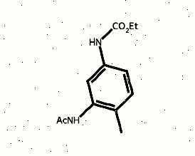 CCOC(=O)Nc1ccc(C)c(NC(C)=O)c1